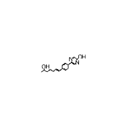 CC(O)CCC/C=C/c1ccc(-c2cnc(O)cn2)cc1